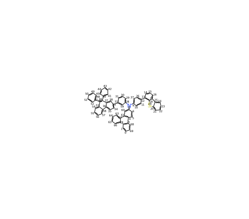 c1ccc(-c2ccc(N(c3ccc(-c4cccc5c4sc4ccccc45)cc3)c3cccc(-c4ccc5c(c4)c(-c4ccccc4)c(-c4ccccc4)c4ccccc45)c3)cc2-c2ccccc2)cc1